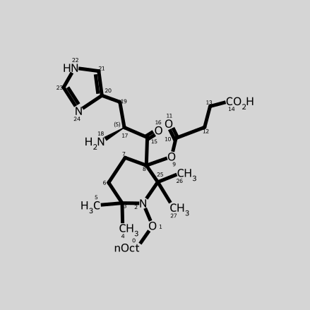 CCCCCCCCON1C(C)(C)CCC(OC(=O)CCC(=O)O)(C(=O)[C@@H](N)Cc2c[nH]cn2)C1(C)C